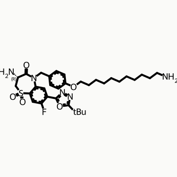 CC(C)(C)c1nnc(-c2cc3c(cc2F)S(=O)(=O)C[C@H](N)C(=O)N3Cc2ccc(OCCCCCCCCCCCN)cc2)o1